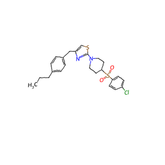 CCCc1ccc(Cc2csc(N3CCC(S(=O)(=O)c4ccc(Cl)cc4)CC3)n2)cc1